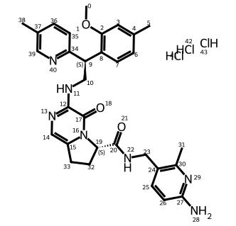 COc1cc(C)ccc1[C@@H](CNc1ncc2n(c1=O)[C@H](C(=O)NCc1ccc(N)nc1C)CC2)c1ccc(C)cn1.Cl.Cl.Cl